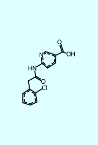 O=C(Cc1ccccc1Cl)Nc1ccc(C(=O)O)cn1